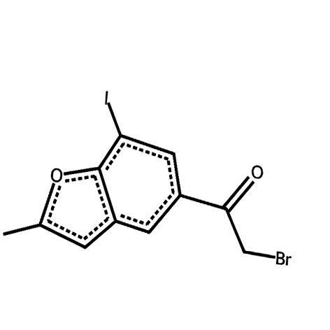 Cc1cc2cc(C(=O)CBr)cc(I)c2o1